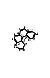 C1=COc2ccc3ccc4ccccc4c3c2C1